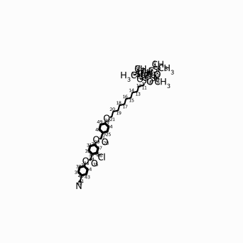 C[Si](C)(C)O[Si](C)(C)O[Si](C)(CCCCCCCCCCCOc1ccc(C(=O)Oc2ccc(C(=O)Oc3ccc(C#N)cc3)c(Cl)c2)cc1)O[Si](C)(C)C